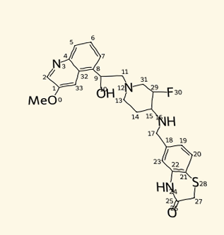 COc1cnc2cccc(C(O)CN3CCC(NCc4ccc5c(c4)NC(=O)CS5)C(F)C3)c2c1